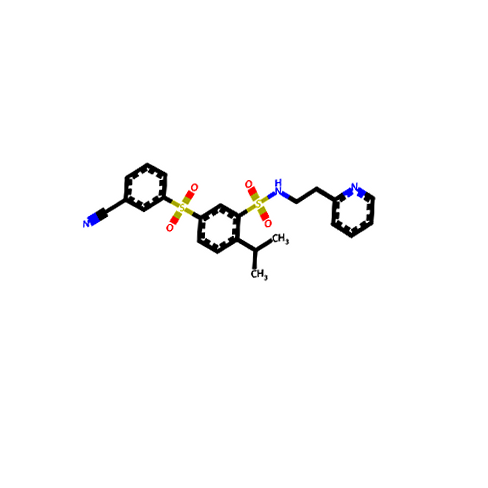 CC(C)c1ccc(S(=O)(=O)c2cccc(C#N)c2)cc1S(=O)(=O)NCCc1ccccn1